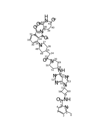 Cc1cccc(C(=O)NC2CC(n3cnc4c(NC5CCN(C(=O)CC6CCN(c7cccc8c7C(=O)N([C@H]7CCC(=O)NC7=O)C8=O)CC6)CC5)ncnc43)C2)n1